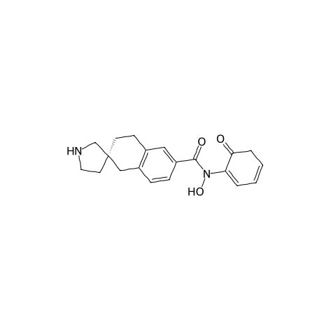 O=C1CC=CC=C1N(O)C(=O)c1ccc2c(c1)CC[C@@]1(CCNC1)C2